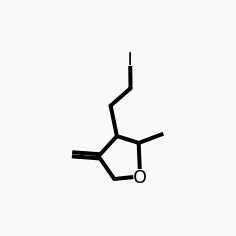 C=C1COC(C)C1CCI